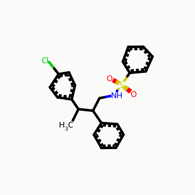 CC(c1ccc(Cl)cc1)C(CNS(=O)(=O)c1ccccc1)c1ccccc1